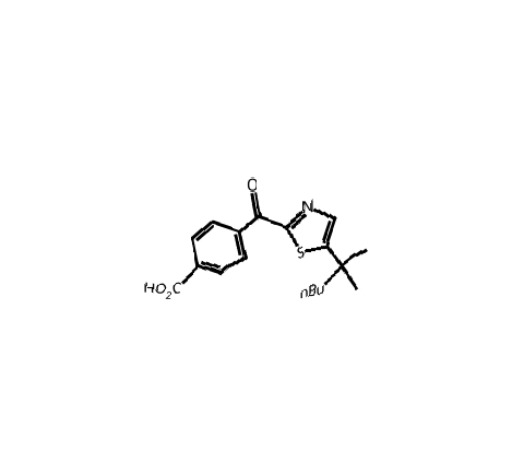 CCCCC(C)(C)c1cnc(C(=O)c2ccc(C(=O)O)cc2)s1